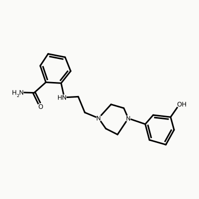 NC(=O)c1ccccc1NCCN1CCN(c2cccc(O)c2)CC1